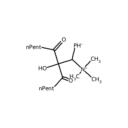 CCCCCC(=O)C(O)(C(=O)CCCCC)C([PH-])[N+](C)(C)C